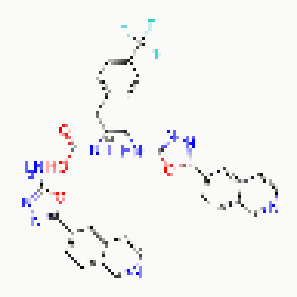 Nc1nnc(-c2ccc3cnccc3c2)o1.O=C(O)N[C@H](CNc1nnc(-c2ccc3cnccc3c2)o1)Cc1ccc(C(F)(F)F)cc1